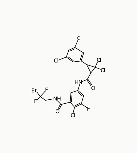 CCC(F)(F)CNC(=O)c1cc(NC(=O)C2C(c3cc(Cl)cc(Cl)c3)C2(Cl)Cl)cc(F)c1Cl